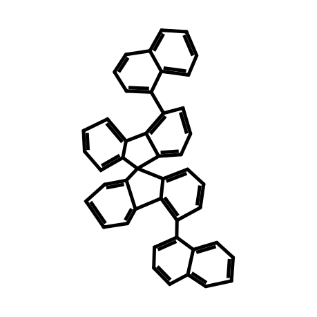 c1ccc2c(c1)-c1c(-c3cccc4ccccc34)cccc1C21c2ccccc2-c2c(-c3cccc4ccccc34)cccc21